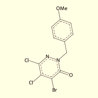 COc1ccc(Cn2nc(Cl)c(Cl)c(Br)c2=O)cc1